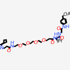 CC(=O)OCc1ccc(NC(=O)CNC(=O)C(NC(=O)CCOCCOCCOCCOCCNC(=O)CCN2C(=O)C=CC2=C2CCC2)C(C)C)cc1